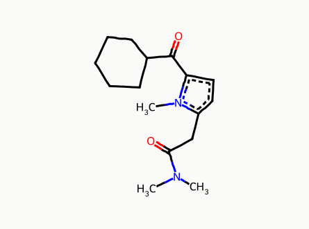 CN(C)C(=O)Cc1ccc(C(=O)C2CCCCC2)n1C